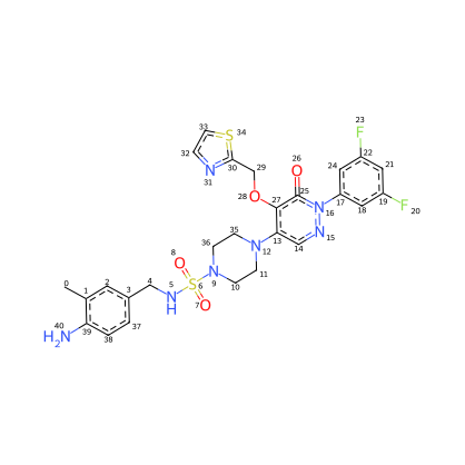 Cc1cc(CNS(=O)(=O)N2CCN(c3cnn(-c4cc(F)cc(F)c4)c(=O)c3OCc3nccs3)CC2)ccc1N